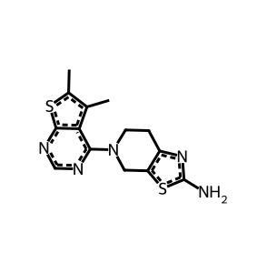 Cc1sc2ncnc(N3CCc4nc(N)sc4C3)c2c1C